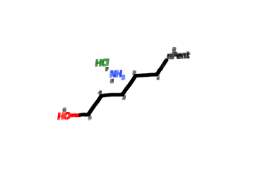 CCCCCCCCCCO.Cl.N